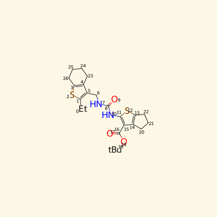 CCc1sc2c(c1CNC(=O)Nc1sc3c(c1C(=O)OC(C)(C)C)CCC3)CCCC2